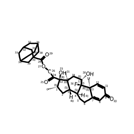 C[C@H]1C[C@H]2[C@@H]3CCC4=CC(=O)C=C[C@]4(C)[C@@]3(F)[C@@H](O)C[C@]2(C)[C@@]1(O)C(=O)COC(=O)C12CC3CC(CC(C3)C1)C2